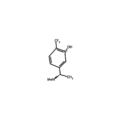 CN[C@H](C)c1ccc(C(F)(F)F)[n+](O)c1